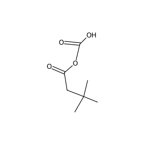 CC(C)(C)CC(=O)OC(=O)O